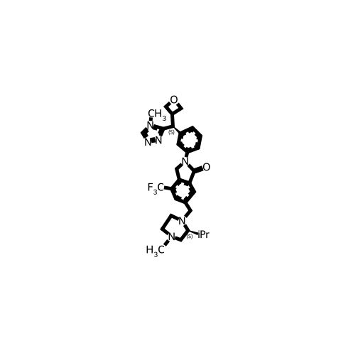 CC(C)[C@H]1CN(C)CCN1Cc1cc2c(c(C(F)(F)F)c1)CN(c1cccc([C@@H](c3nncn3C)C3COC3)c1)C2=O